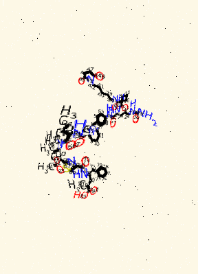 CC[C@H](C)[C@H](NC(=O)[C@H]1CCCC[N+]1(C)Cc1ccc(NC(=O)[C@H](CCCNC(N)=O)NC(=O)C2(C(=O)NCCCCCN3C(=O)C=CC3=O)CCC2)cc1)C(=O)N(C)[C@H](C[C@@H](OC(C)=O)c1nc(C(=O)N[C@@H](Cc2ccccc2)C[C@H](C)C(=O)O)cs1)C(C)C